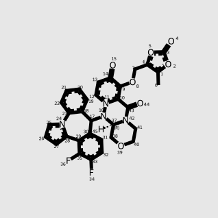 Cc1oc(=O)oc1COc1c2n(ccc1=O)N(C1c3ccccc3-n3cccc3-c3c1ccc(F)c3F)[C@@H]1COCCN1C2=O